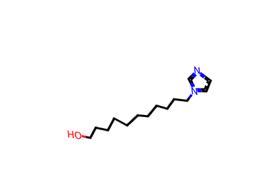 OCCCCCCCCCCCn1ccnc1